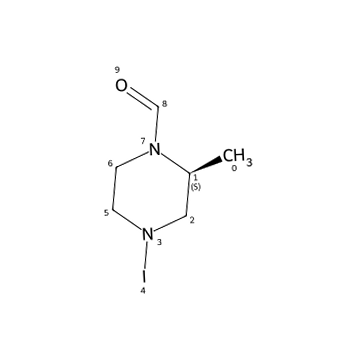 C[C@H]1CN(I)CCN1C=O